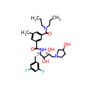 CCCN(CCC)C(=O)c1cc(C)cc(C(=O)N[C@@H](Cc2cc(F)cc(F)c2)[C@H](O)[C@H](O)CN2CCC(O)C2)c1